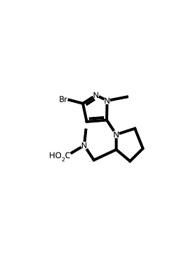 CN(CC1CCCN1c1cc(Br)nn1C)C(=O)O